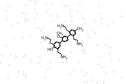 COc1cc(-c2c(CCN)cc(C)cc2CCN)ccc1-c1cc(CCN)c(O)c(CCN)c1